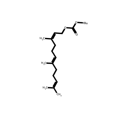 CC(C)=CCC/C(C)=C/CC/C(C)=C\COC(=O)OC(C)(C)C